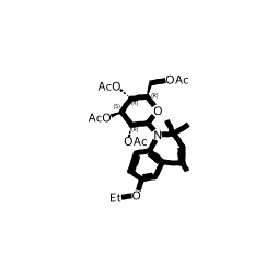 CCOc1ccc2c(c1)C(C)=CC(C)(C)N2C1O[C@H](COC(C)=O)[C@@H](OC(C)=O)[C@H](OC(C)=O)[C@H]1OC(C)=O